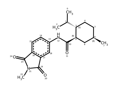 CC(C)[C@@H]1CC[C@@H](C)C[C@H]1C(=O)Nc1ccc2c(c1)C(=O)N(C)C2=O